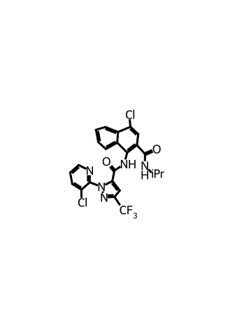 CC(C)NC(=O)c1cc(Cl)c2ccccc2c1NC(=O)c1cc(C(F)(F)F)nn1-c1ncccc1Cl